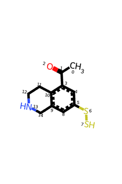 CC(=O)c1cc(SS)cc2c1CCNC2